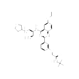 CCOc1ccc2nc(-c3cccc(OCC(=O)NC(C)(C)C)c3)nc(N/C(C=N)=C/NC3CCOC3)c2c1